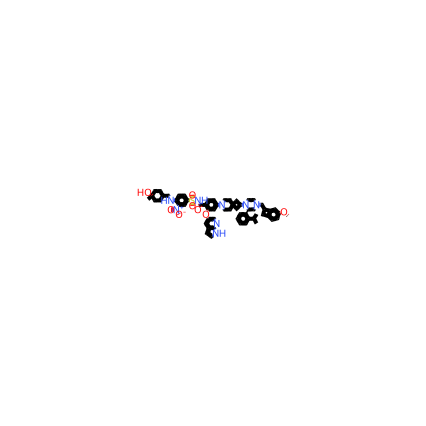 COc1ccc2c(c1)C(CN1CCN(C3CC4(CCN(c5ccc(C(=O)NS(=O)(=O)c6ccc(NCC7CCC(C)(O)CC7)c([N+](=O)[O-])c6)c(Oc6cnc7[nH]ccc7c6)c5)CC4)C3)[C@H](c3ccccc3C(C)C)C1)C2